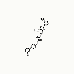 Cc1cccc(-c2nc(CSCC(=O)NCCN3CCN(c4cccc(Cl)c4)CC3)c(C)o2)c1